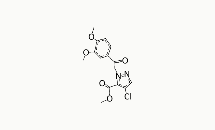 COC(=O)c1c(Cl)cnn1CC(=O)c1ccc(OC)c(OC)c1